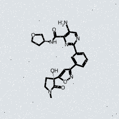 CN1CC[C@@](O)(c2cc(-c3cccc(-c4ncc(N)c(C(=O)N[C@H]5CCOC5)n4)c3)no2)C1=O